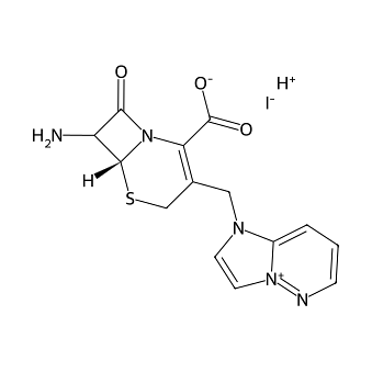 NC1C(=O)N2C(C(=O)[O-])=C(Cn3cc[n+]4ncccc34)CS[C@H]12.[H+].[I-]